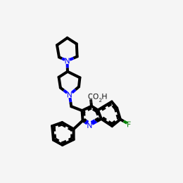 O=C(O)c1c(CN2CCC(N3CCCCC3)CC2)c(-c2ccccc2)nc2cc(F)ccc12